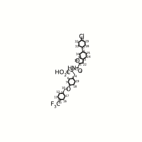 O=C(NC(Cc1ccc(OCc2ccc(C(F)(F)F)cc2)cc1)C(=O)O)c1cc2ccc(-c3ccc(Cl)cc3)cc2o1